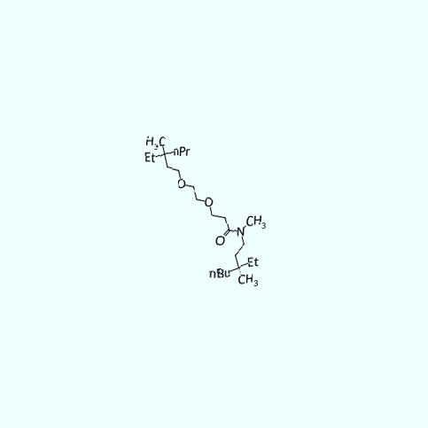 CCCCC(C)(CC)CCN(C)C(=O)CCOCCOCCC(C)(CC)CCC